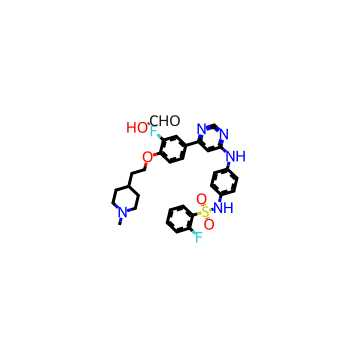 CN1CCC(CCOc2ccc(-c3cc(Nc4ccc(NS(=O)(=O)c5ccccc5F)cc4)ncn3)cc2F)CC1.O=CO